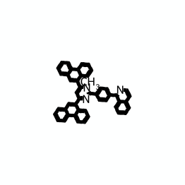 CC12C=CC=CC1c1ccccc1C=C2c1cc(-c2cc3ccccc3c3ccccc23)nc(-c2ccc(-c3nccc4ccccc34)cc2)n1